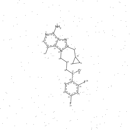 Cc1cnc(N)c2nc(CC3CC3)n(CCC[S+]([O-])c3ccc(F)cc3F)c12